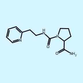 NC(=O)C1CCCN1C(=O)NCCc1ccccn1